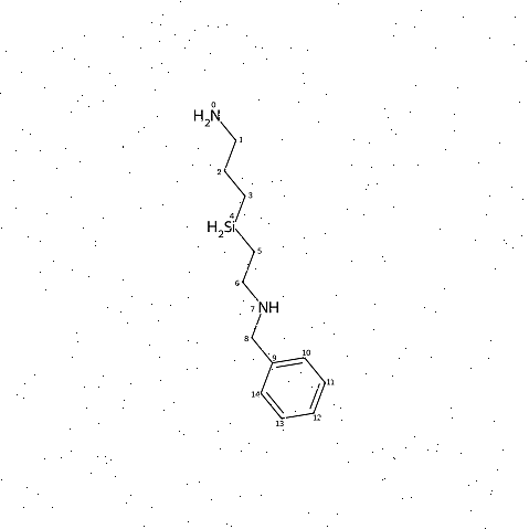 NCCC[SiH2]CCNCc1ccccc1